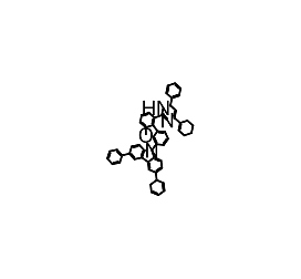 C1=CCC(c2ccc3c(c2)c2cc(-c4ccccc4)ccc2n3-c2cccc3c2oc2cccc(C4=NC(C5=CCCCC5)=CC(c5ccccc5)N4)c23)C=C1